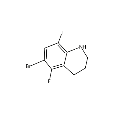 Fc1c(Br)cc(I)c2c1CCCN2